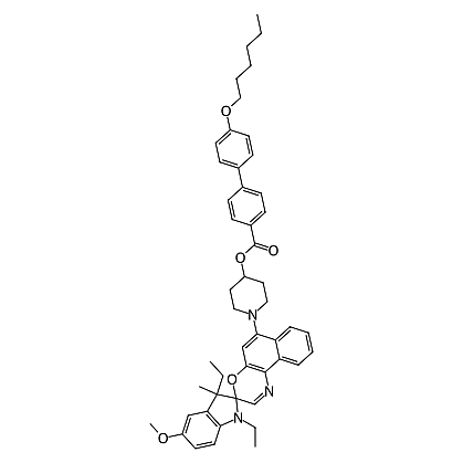 CCCCCCOc1ccc(-c2ccc(C(=O)OC3CCN(c4cc5c(c6ccccc46)N=CC4(O5)N(CC)c5ccc(OC)cc5C4(C)CC)CC3)cc2)cc1